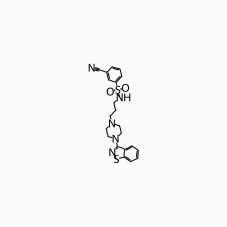 N#Cc1cccc(S(=O)(=O)NCCCN2CCN(c3nsc4ccccc34)CC2)c1